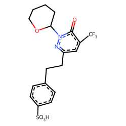 O=c1c(C(F)(F)F)cc(CCc2ccc(S(=O)(=O)O)cc2)nn1C1CCCCO1